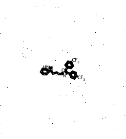 FC(F)(F)c1ccc(-c2nc(CCCc3c[nH]c4ccccc34)oc2-c2ccc(C(F)(F)F)cc2)cc1